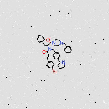 O=C([C@H](Cc1ccccc1)N(Cc1ccc(-c2ccccn2)cc1)C(=O)/C=C/c1ccc(Br)cc1)N1CCN(Cc2ccccc2)CC1